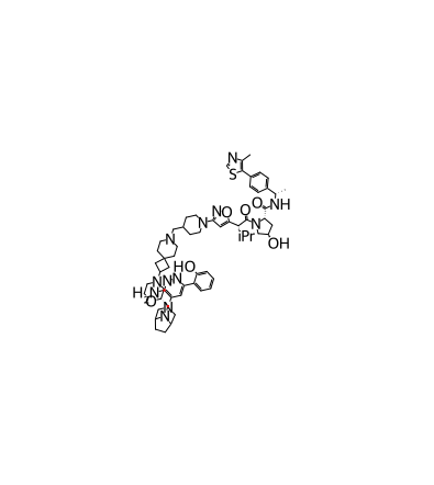 Cc1ncsc1-c1ccc([C@H](C)NC(=O)[C@@H]2C[C@@H](O)CN2C(=O)[C@@H](c2cc(N3CCC(CN4CCC5(CC4)CC(N4CCO[C@@H](CN6C7CCC6CN(c6cc(-c8ccccc8O)nnc6N)C7)C4)C5)CC3)no2)C(C)C)cc1